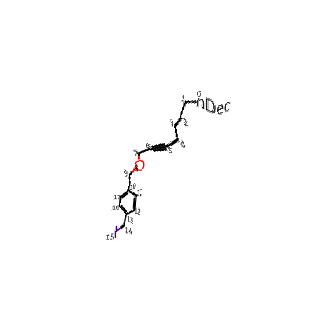 CCCCCCCCCCCCCCC#CCOCc1ccc(CI)cc1